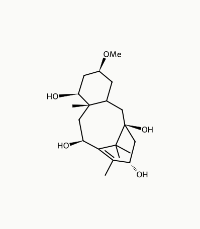 CO[C@H]1CC2C[C@]3(O)C[C@H](O)C(C)=C([C@@H](O)C[C@]2(C)[C@@H](O)C1)C3(C)C